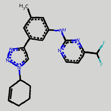 Cc1cc(Nc2nccc(C(F)F)n2)cc(-c2cn(C3C=CCCC3)nn2)c1